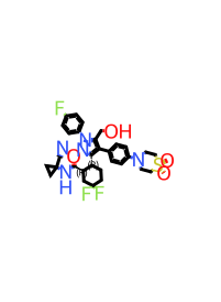 N#CC1(NC(=O)[C@@H]2CC(F)(F)CC[C@H]2c2nn(-c3ccc(F)cc3)c(CO)c2-c2ccc(N3CCS(=O)(=O)CC3)cc2)CC1